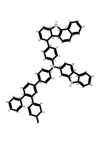 CC1C=CC(c2cc(-c3ccc(N(c4ccc(C5C=CC=C6Oc7c(ccc8ccccc78)C65)cc4)c4ccc5c(c4)sc4ccccc45)cc3)ccc2-c2ccccc2)=CC1